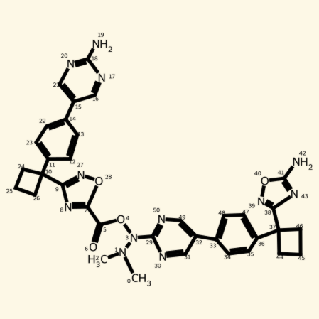 CN(C)N(OC(=O)c1nc(C2(c3ccc(-c4cnc(N)nc4)cc3)CCC2)no1)c1ncc(-c2ccc(C3(c4noc(N)n4)CCC3)cc2)cn1